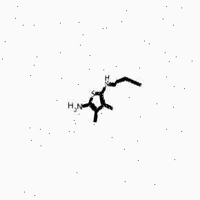 CCCNc1sc(N)c(C)c1C